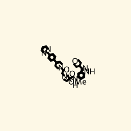 CO[C@@]1(C(=O)Nc2ccc3[nH]nc(C4CCOCC4)c3c2)CCN(CC(=O)N2CC=C(c3ccc(-c4ncccn4)cc3)CC2)C1